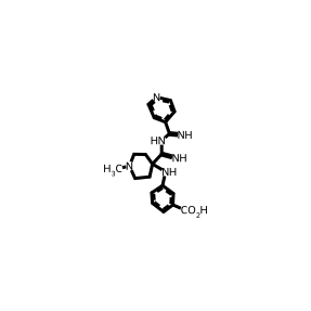 CN1CCC(Nc2cccc(C(=O)O)c2)(C(=N)NC(=N)c2ccncc2)CC1